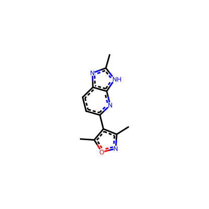 Cc1nc2ccc(-c3c(C)noc3C)nc2[nH]1